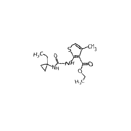 CCOC(=O)c1c(C)csc1NC(=O)NC1(CC)CC1